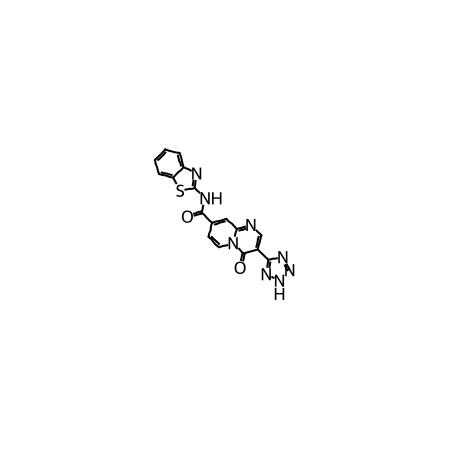 O=C(Nc1nc2ccccc2s1)c1ccn2c(=O)c(-c3nn[nH]n3)cnc2c1